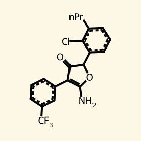 CCCc1cccc(C2OC(N)=C(c3cccc(C(F)(F)F)c3)C2=O)c1Cl